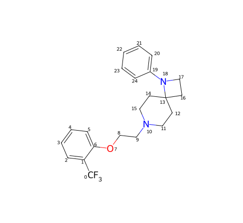 FC(F)(F)c1ccccc1OCCN1CCC2(CC1)CCN2c1ccccc1